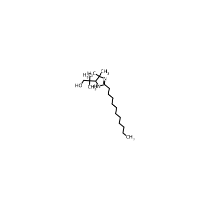 CCCCCCCCCCCC1=NC(C)(C)C(C(C)(C)CO)N1